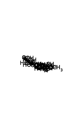 C[C@@H]1CC[C@@]2(OC1)O[C@H]1C[C@H]3[C@@H]4CC[C@H]5C[C@@H](OC(=O)[C@@H](O)[C@@H](O)[C@H](O)[C@@H](O)C=O)CC[C@]5(C)[C@H]4CC[C@]3(C)[C@H]1[C@@H]2C